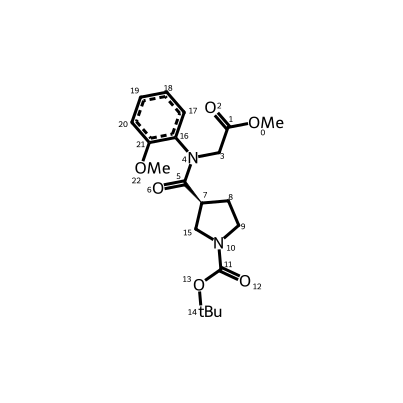 COC(=O)CN(C(=O)[C@H]1CCN(C(=O)OC(C)(C)C)C1)c1ccccc1OC